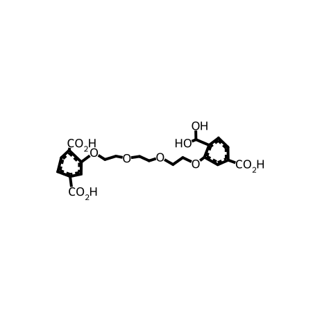 O=C(O)c1ccc(C(=O)O)c(OCCOCCOCCOc2cc(C(=O)O)ccc2C(O)O)c1